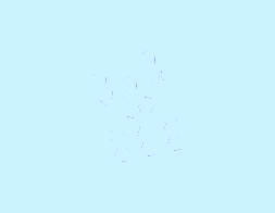 c1ccc2c(-c3ccc(-c4cncc5ccccc45)c4c3-c3ccc5c6c(ccc-4c36)-c3c-5c(-c4cncc5ccccc45)c4ccccc4c3-c3cncc4ccccc34)cncc2c1